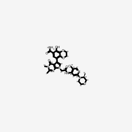 Cc1nc2c(c(-c3cc(C(N)=O)c(O)c4c3OCCO4)cn2CC(=O)Nc2cc(N3CCOC[C@@H]3C)ncc2Cl)c(=O)n1C